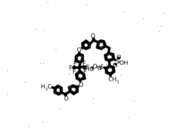 Cc1ccc(C(=O)c2ccc(Oc3ccc(C(c4ccc(Oc5ccc(C(=O)c6ccc(Cc7ccc(-c8ccc(C)cc8SOOO)c(S(=O)(=O)O)c7)cc6)cc5)cc4)(C(F)(F)F)C(F)(F)F)cc3)cc2)cc1